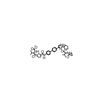 COC(=O)N[C@H](C(=O)N1CC[C@@H](C(=O)Nc2ccc(-c3ccc(-c4c[nH]c([C@@H]5CCCN5C(=O)[C@@H](NC(=O)OC)C(C)C)n4)cc3)cc2)C1)C(C)C